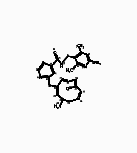 Cc1cc(N)nc(C)c1CNC(=O)c1ccnc(CC2=C\C(N)C\N=C/C(Cl)=C/C=C/2)c1